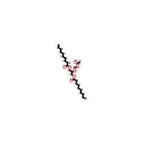 CCCCCCCCCC(=O)OCC(COC(=O)CCCCCCCCC)OCOC(C)=O